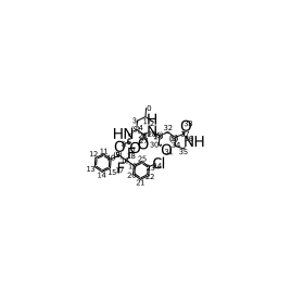 CC(C)C[C@H](NC(=O)O[C@@H](c1ccccc1)C(F)(F)c1cccc(Cl)c1)C(=O)N[C@H](C=O)C[C@@H]1CCNC1=O